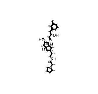 Cc1cccc(C[C@@H](O)/C=C/[C@@H]2[C@H]3CC(CCNCCN4CCCC4)=C[C@H]3C[C@H]2O)c1